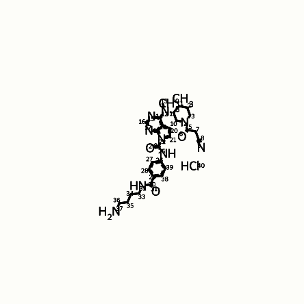 C[C@@H]1CCN(C(=O)CC#N)C[C@@H]1N(C)c1ncnc2c1ccn2C(=O)Nc1ccc(C(=O)NCCCCN)cc1.Cl